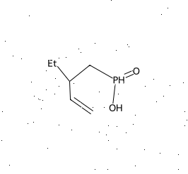 C=CC(CC)C[PH](=O)O